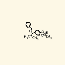 CC(C)C(OCc1ccccc1)c1ccc(OS(C)(=O)=O)cc1